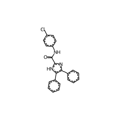 O=C(Nc1ccc(Cl)cc1)c1nc(-c2ccccc2)c(-c2ccccc2)[nH]1